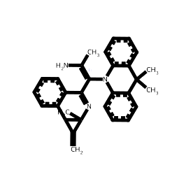 C=C1C2c3ccccc3C(/C(=C(/C)N)N3c4ccccc4C(C)(C)c4ccccc43)=NC12C